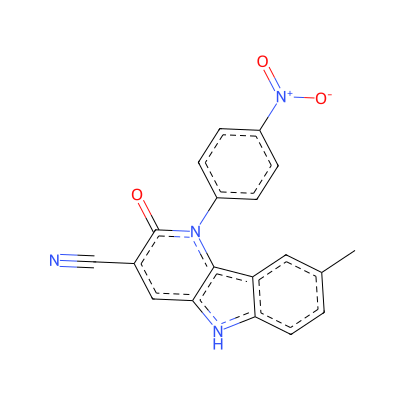 Cc1ccc2[nH]c3cc(C#N)c(=O)n(-c4ccc([N+](=O)[O-])cc4)c3c2c1